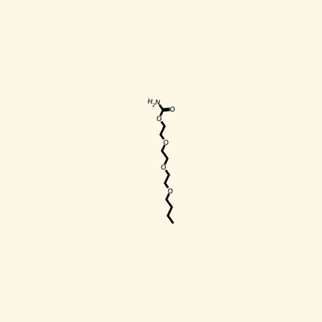 CCCCOCCOCCOCCOC(N)=O